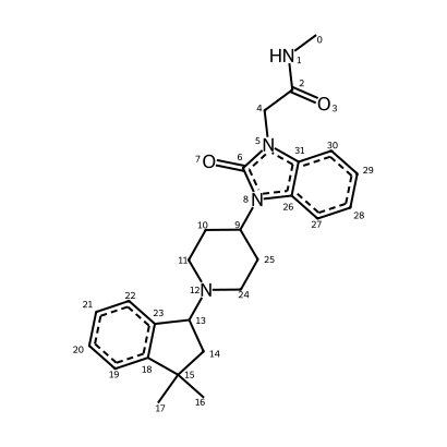 CNC(=O)Cn1c(=O)n(C2CCN(C3CC(C)(C)c4ccccc43)CC2)c2ccccc21